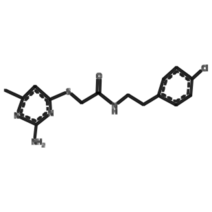 Cc1cc(SCC(=O)NCCc2ccc(Cl)cc2)nc(N)n1